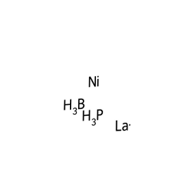 B.P.[La].[Ni]